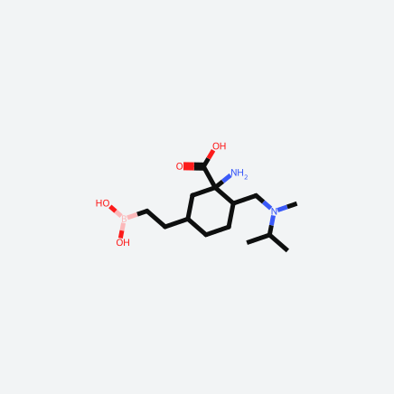 CC(C)N(C)CC1CCC(CCB(O)O)CC1(N)C(=O)O